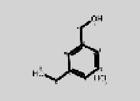 Cl.OCc1cccc(CO)c1